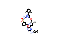 Cc1cccc(C)c1-c1cc2nc(n1)NS(=O)(=O)c1cccc(c1)C(=O)N1C(c3nc(N(C)C4CC5(CC5)C4)cnc3C)CC(C(C)C)C1CO2